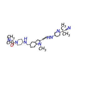 CCn1c(C#CCNc2ccc(C(C)(C)C#N)nc2)cc2cc(CNC3CCN(C(=O)CN(C)C)CC3)ccc21